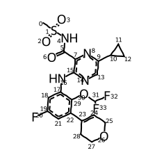 CS(=O)(=O)NC(=O)c1nc(C2CC2)cnc1Nc1cc(F)cc(C2=CCOCC2)c1OC(F)F